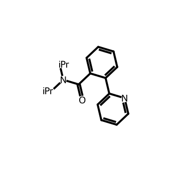 CC(C)N(C(=O)c1ccccc1-c1ccccn1)C(C)C